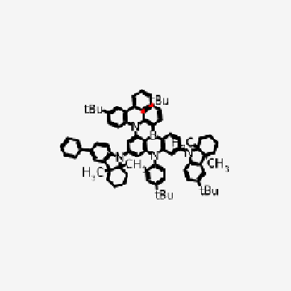 CC(C)(C)c1ccc(N2c3cc(N4c5ccc(C(C)(C)C)cc5C5(C)CCCCC45C)ccc3B3c4ccc(C(C)(C)C)cc4N(c4ccc(C(C)(C)C)cc4-c4ccccc4)c4cc(N5c6ccc(-c7ccccc7)cc6C6(C)CCCCC56C)cc2c43)cc1